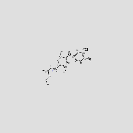 CCCN(C)/C=N/c1cc(C)c(Oc2ccc(Br)c(Cl)c2)cc1C